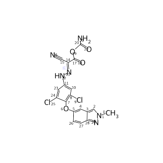 Cn1cc2cc(Oc3c(Cl)cc(N/N=C(\C#N)C(=O)OC(N)=O)cc3Cl)ccc2n1